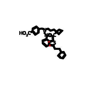 O=C(O)c1ccc(CN(CCCC2(C(=O)O)CCC2)C[C@@H](OCc2ccc(CCc3ccccc3)s2)c2ccccc2)cc1